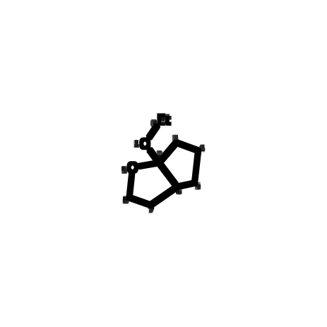 CCOC12CCCC1CCO2